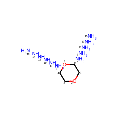 C1COCCO1.N.N.N.N.N.N.N.N.N.N.N